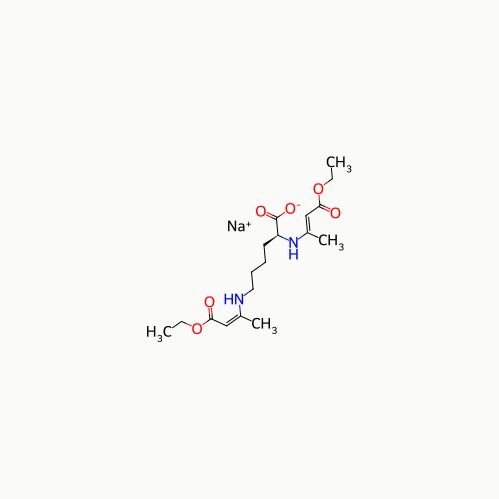 CCOC(=O)C=C(C)NCCCC[C@H](NC(C)=CC(=O)OCC)C(=O)[O-].[Na+]